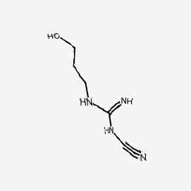 N#CNC(=N)NCCCO